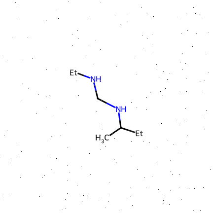 CCNCNC(C)CC